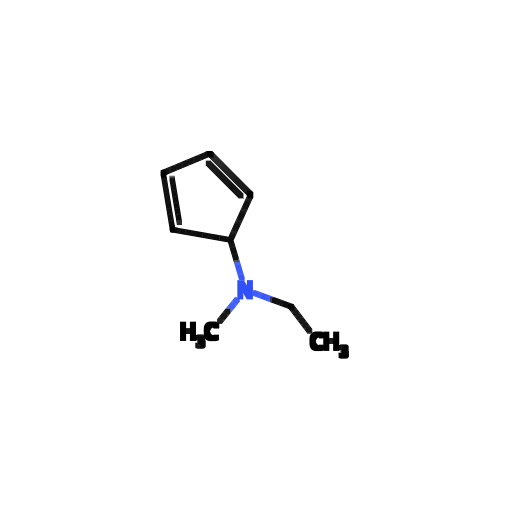 CCN(C)C1C=CC=C1